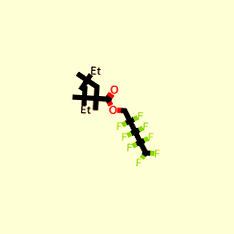 CCC(C)(C)CC(C)(C(=O)OCC(F)(F)C(F)(F)C(F)(F)C(F)F)C(C)(C)CC